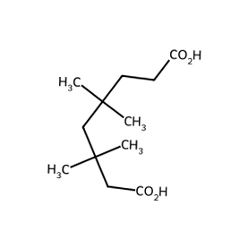 CC(C)(CCC(=O)O)CC(C)(C)CC(=O)O